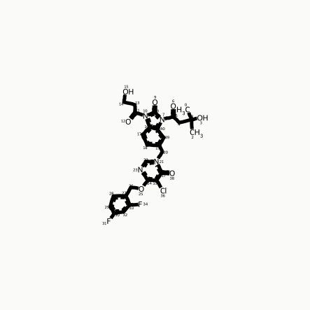 CC(C)(O)CC(=O)n1c(=O)n(C(=O)CCO)c2ccc(Cn3cnc(OCc4ccc(F)cc4F)c(Cl)c3=O)cc21